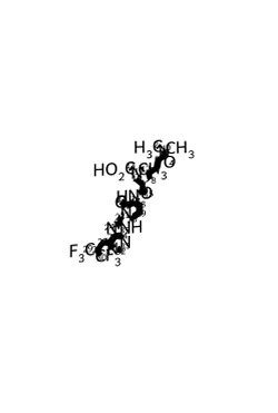 CN(C)C(=O)/C=C/CC[C@@H](CN(C)C(=O)O)C(=O)Nc1cccn(Cc2nc3c(CC(C(F)(F)F)C(F)(F)F)ncnc3[nH]2)c1=O